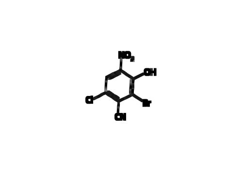 N#Cc1c(Cl)cc([N+](=O)[O-])c(O)c1Br